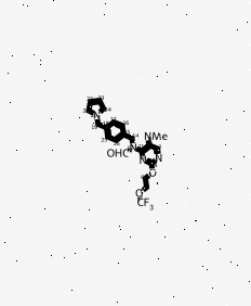 CNc1cnc(OCCOC(F)(F)F)nc1N(C=O)Cc1ccc(CN2CC=CC2)cc1